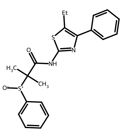 CCc1sc(NC(=O)C(C)(C)[S+]([O-])c2ccccc2)nc1-c1ccccc1